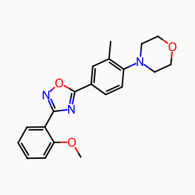 COc1ccccc1-c1noc(-c2ccc(N3CCOCC3)c(C)c2)n1